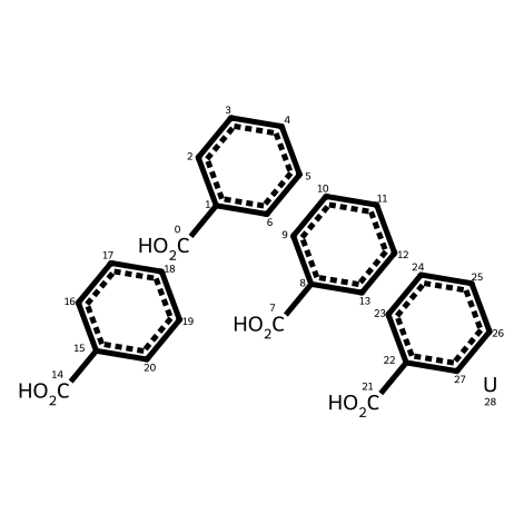 O=C(O)c1ccccc1.O=C(O)c1ccccc1.O=C(O)c1ccccc1.O=C(O)c1ccccc1.[U]